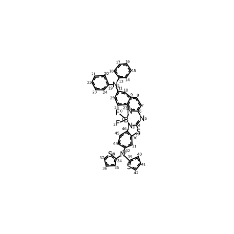 F[B-]1(F)N2C(=Nc3ccc4cc(N(c5ccccc5)c5ccccc5)ccc4[n+]31)Sc1cc(N(c3cccs3)c3cccs3)ccc12